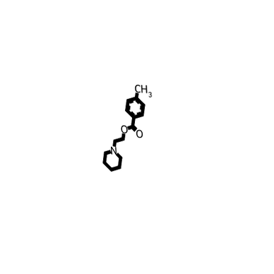 Cc1ccc(C(=O)OCCN2CCCCC2)cc1